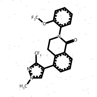 Cn1cc(-c2cccc3c2CCN(c2ccccc2OC(F)(F)F)C3=O)c(C(F)(F)F)n1